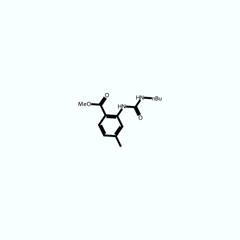 CCCCNC(=O)Nc1cc(C)ccc1C(=O)OC